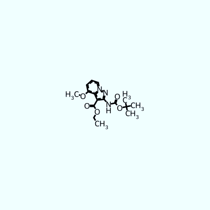 CCOC(=O)c1c(NC(=O)OC(C)(C)C)nn2cccc(OC)c12